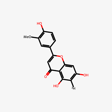 [2H]c1c(O)cc2oc(-c3ccc(O)c(OC)c3)cc(=O)c2c1O